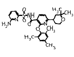 Cc1cc(C)c(Oc2nc(C3CCOC(C)(C)C3)ccc2C(=O)NS(=O)(=O)c2cccc(N)n2)c(C)c1